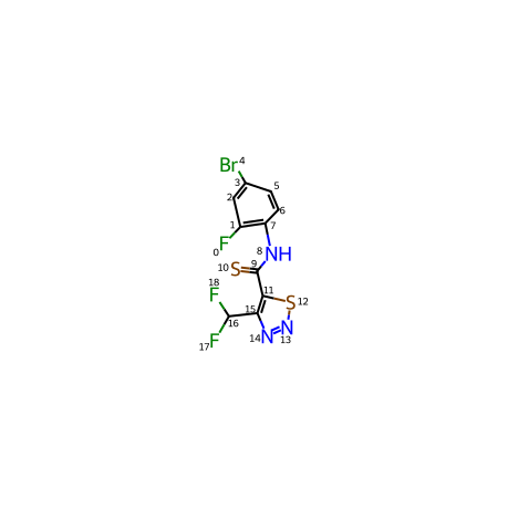 Fc1cc(Br)ccc1NC(=S)c1snnc1C(F)F